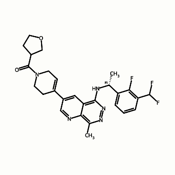 Cc1nnc(N[C@H](C)c2cccc(C(F)F)c2F)c2cc(C3=CCN(C(=O)C4CCOC4)CC3)cnc12